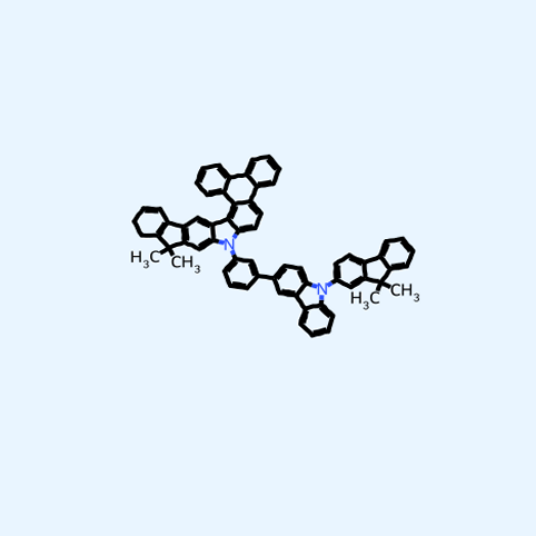 CC1(C)C2=C(C=CCC2)c2cc3c4c5c6ccccc6c6ccccc6c5ccc4n(-c4cccc(-c5ccc6c(c5)c5ccccc5n6-c5ccc6c(c5)C(C)(C)c5ccccc5-6)c4)c3cc21